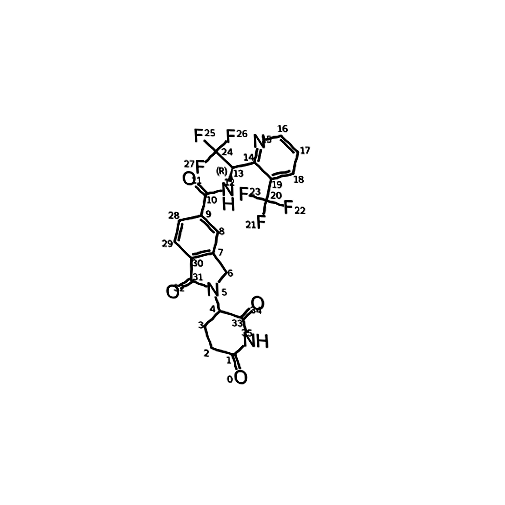 O=C1CCC(N2Cc3cc(C(=O)N[C@H](c4ncccc4C(F)(F)F)C(F)(F)F)ccc3C2=O)C(=O)N1